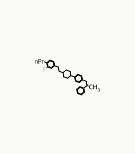 CCCc1ccc(CCC2CCC(c3ccc(C[C@H](C)c4ccccc4)cc3)CC2)cc1F